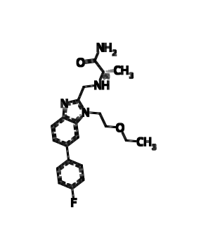 CCOCCn1c(CN[C@@H](C)C(N)=O)nc2ccc(-c3ccc(F)cc3)cc21